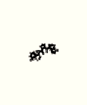 NC[C@@H](NC(=O)c1sccc1Nc1ccnc2[nH]ccc12)c1cccc(Cl)c1